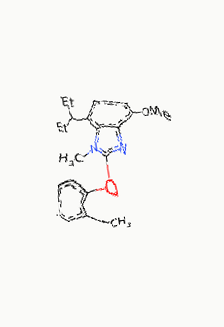 CCC(CC)c1ccc(OC)c2nc(Oc3cc[c]cc3C)n(C)c12